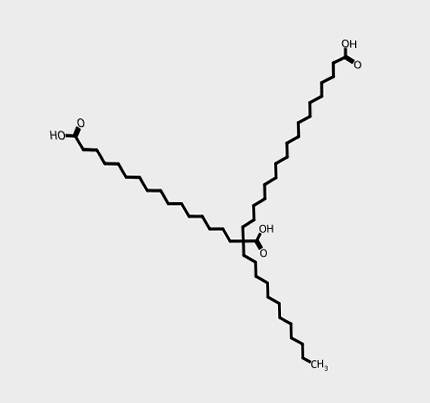 CCCCCCCCCCCCC(CCCCCCCCCCCCCCCCCC(=O)O)(CCCCCCCCCCCCCCCC(=O)O)C(=O)O